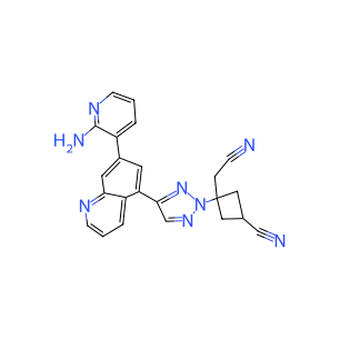 N#CCC1(n2ncc(-c3cc(-c4cccnc4N)cc4ncccc34)n2)CC(C#N)C1